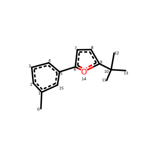 Cc1cccc(-c2ccc(C(C)(C)C)o2)c1